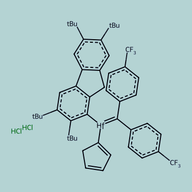 CC(C)(C)c1cc2c(cc1C(C)(C)C)-c1cc(C(C)(C)C)c(C(C)(C)C)[c]([Hf]([C]3=CC=CC3)=[C](c3ccc(C(F)(F)F)cc3)c3ccc(C(F)(F)F)cc3)c1C2.Cl.Cl